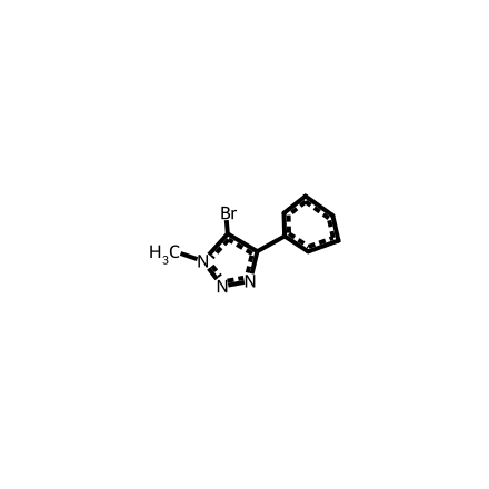 Cn1nnc(-c2ccccc2)c1Br